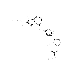 CC(C)NC(=O)O[C@H]1CC[C@@H](c2cc(Nc3nccc4nc(OCC(F)(F)F)cn34)n[nH]2)[C@H]1F